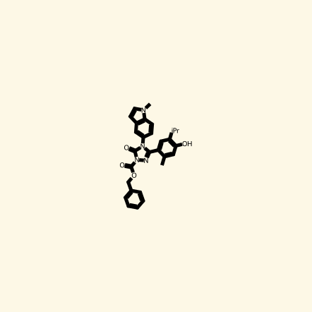 Cc1cc(O)c(C(C)C)cc1-c1nn(C(=O)OCc2ccccc2)c(=O)n1-c1ccc2c(ccn2C)c1